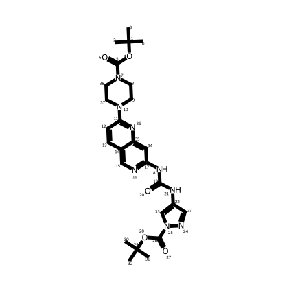 CC(C)(C)OC(=O)N1CCN(c2ccc3cnc(NC(=O)Nc4cnn(C(=O)OC(C)(C)C)c4)cc3n2)CC1